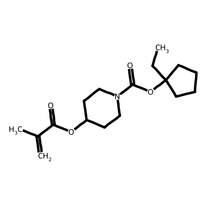 C=C(C)C(=O)OC1CCN(C(=O)OC2(CC)CCCC2)CC1